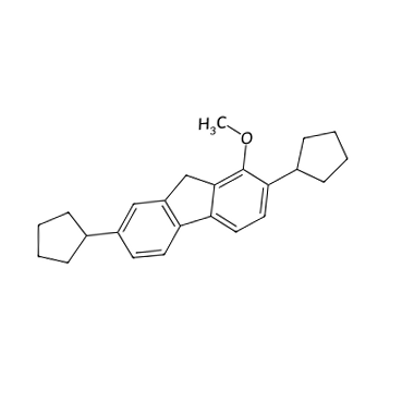 COc1c(C2CCCC2)ccc2c1Cc1cc(C3CCCC3)ccc1-2